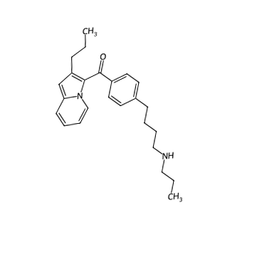 CCCNCCCCc1ccc(C(=O)c2c(CCC)cc3ccccn23)cc1